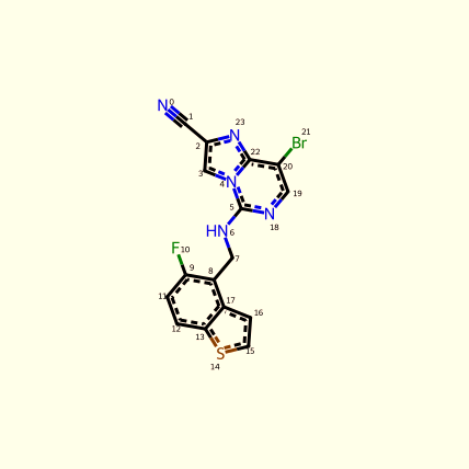 N#Cc1cn2c(NCc3c(F)ccc4sccc34)ncc(Br)c2n1